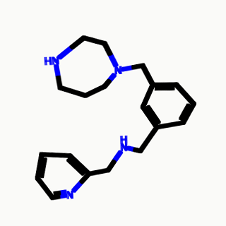 c1ccc(CNCc2cccc(CN3CCCNCC3)c2)nc1